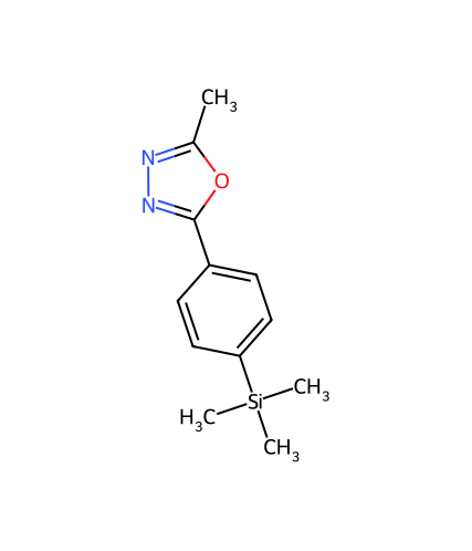 Cc1nnc(-c2ccc([Si](C)(C)C)cc2)o1